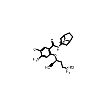 C#CC(CCC)Oc1cc(N)c(Cl)cc1C(=O)NC1CC2CCC(C1)N2C.Cl